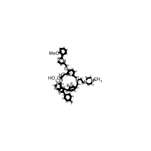 COc1ccccc1-c1nccc(COc2ccc3cc2C[C@H](C(=O)O)Oc2ncnc4sc(-c5ccc(F)cc5)c(c24)-c2ccc(c(F)c2F)CN(CCN2CCN(C)CC2)C3)n1